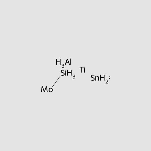 [AlH3].[SiH3][Mo].[SnH2].[Ti]